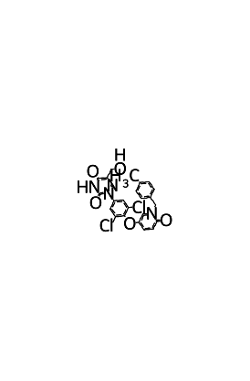 Cc1ccc(Cn2cc(Oc3c(Cl)cc(-n4nc(CO)c(=O)[nH]c4=O)cc3Cl)ccc2=O)cc1